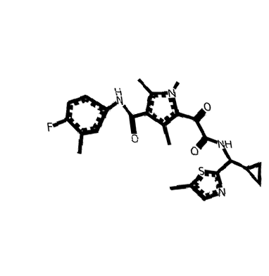 Cc1cnc(C(NC(=O)C(=O)c2c(C)c(C(=O)Nc3ccc(F)c(C)c3)c(C)n2C)C2CC2)s1